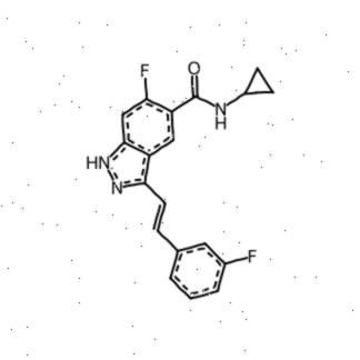 O=C(NC1CC1)c1cc2c(/C=C/c3cccc(F)c3)n[nH]c2cc1F